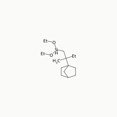 CCO[SiH](CC(C)(CC)C12CCC(CC1)C2)OCC